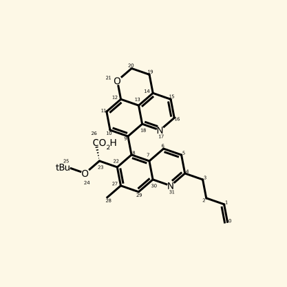 C=CCCc1ccc2c(-c3ccc4c5c(ccnc35)CCO4)c([C@H](OC(C)(C)C)C(=O)O)c(C)cc2n1